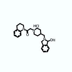 Cl.O=C(CN1CCC(CN2Cc3ccccc3C2O)CC1)N1CCCc2ccccc21